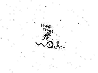 CCCC[n+]1ccccc1.O=S(=O)(O)O.O=S(=O)(O)O.O=[SH](=O)O